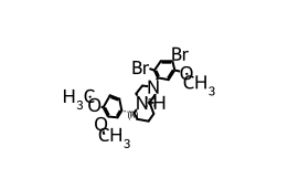 COc1cc(N2CCN3[C@@H](CCC[C@@H]3c3ccc(OC)c(OC)c3)C2)c(Br)cc1Br